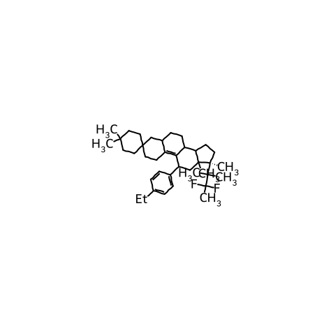 CCc1ccc(C2CC3(C)C(CC[C@@]3(C)C(C)(C)C(C)(F)F)C3CCC4CC5(CCC4=C23)CCC(C)(C)CC5)cc1